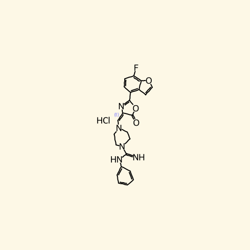 Cl.N=C(Nc1ccccc1)N1CCN(/C=C2/N=C(c3ccc(F)c4occc34)OC2=O)CC1